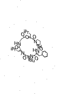 CC[C@H](C)[C@H]1C(=O)N(C)[C@@H](CC(C)C)C(=O)NCCC(=O)O[C@@H](CC(C)C)C(=O)N2CCC[C@H]2C(=O)N[C@@H](Cc2ccccc2)C(=O)N1C